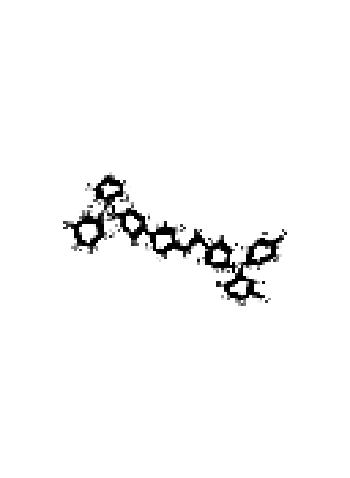 Cc1ccc(N(c2ccc(/C=C/c3ccc(-c4ccc(N(c5ccccc5)c5ccccc5)cc4)cc3)cc2)c2cccc(C)c2)cc1